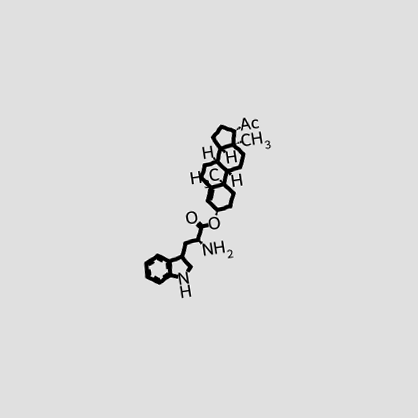 CC(=O)[C@H]1CC[C@H]2[C@@H]3CCC4=C[C@@H](OC(=O)[C@@H](N)CC5CNc6ccccc65)CC[C@]4(C)[C@H]3CC[C@]12C